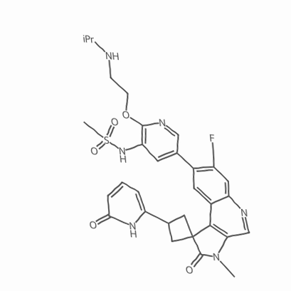 CC(C)NCCOc1ncc(-c2cc3c4c(cnc3cc2F)N(C)C(=O)C42CC(c3cccc(=O)[nH]3)C2)cc1NS(C)(=O)=O